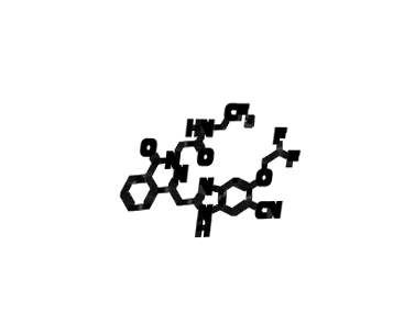 N#Cc1cc2[nH]c(Cc3nn(CC(=O)NCC(F)(F)F)c(=O)c4ccccc34)nc2cc1OCC(F)F